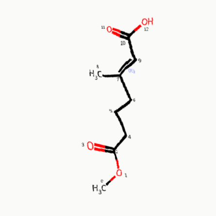 COC(=O)CCC/C(C)=C/C(=O)O